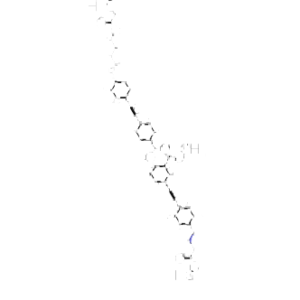 C=CC(=O)OCCCCSc1ccc(C#Cc2ccc(COc3ccc(C#Cc4ccc(/C=C/CC(=O)OC)cc4)cc3C(=O)OC)cc2)cc1